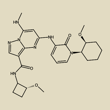 CNc1cc(Nc2cccn([C@@H]3CCCC[C@@H]3OC)c2=O)nc2c(C(=O)NC3CC[C@H]3OC)cnn12